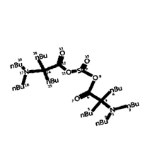 CCCCN(CCCC)C(CCCC)(CCCC)C(=O)O[Si](=O)OC(=O)C(CCCC)(CCCC)N(CCCC)CCCC